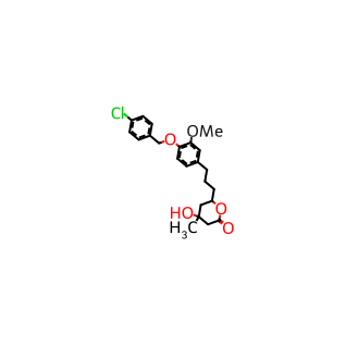 COc1cc(CCCC2CC(C)(O)CC(=O)O2)ccc1OCc1ccc(Cl)cc1